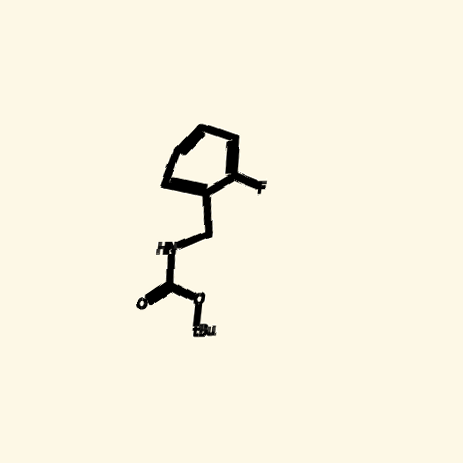 CC(C)(C)OC(=O)NCc1ccccc1F